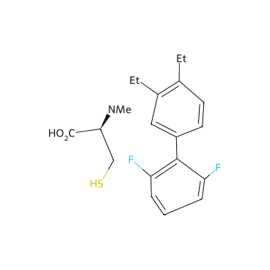 CCc1ccc(-c2c(F)cccc2F)cc1CC.CN[C@@H](CS)C(=O)O